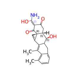 CC1=C2C3=C[C@]34C(=O)/C(=C(/N)O)C(=O)C[C@@H]4[C@@H](O)C2Cc2cccc(C)c21